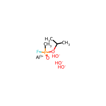 CC(C)OP(C)(=O)F.[Al+3].[OH-].[OH-].[OH-]